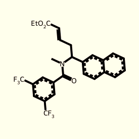 CCOC(=O)C=CCC(c1ccc2ccccc2c1)N(C)C(=O)c1cc(C(F)(F)F)cc(C(F)(F)F)c1